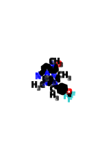 CC(c1ccc(OC(F)(F)F)cc1)N1C[C@H](C)N(c2cc(=O)n(C)c3ccc(C#N)nc23)CC1CN(C)C